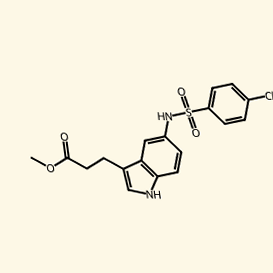 COC(=O)CCc1c[nH]c2ccc(NS(=O)(=O)c3ccc(Cl)cc3)cc12